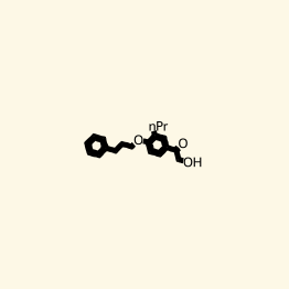 CCCc1cc(C(=O)CO)ccc1OCCCc1ccccc1